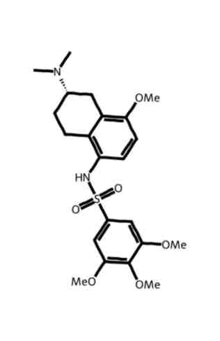 COc1ccc(NS(=O)(=O)c2cc(OC)c(OC)c(OC)c2)c2c1C[C@@H](N(C)C)CC2